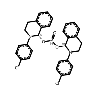 O=[PH](O[C@H]1c2ccccc2CCN1c1ccc(Cl)cc1)O[C@H]1c2ccccc2CCN1c1ccc(Cl)cc1